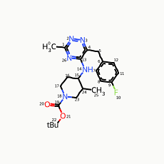 Cc1nnc(Cc2ccc(F)cc2)c(NC2CCN(C(=O)OC(C)(C)C)CC2C)n1